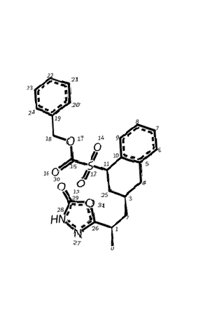 C[C@H](C[C@@H]1Cc2ccccc2C(S(=O)(=O)C(=O)OCc2ccccc2)C1)c1n[nH]c(=O)o1